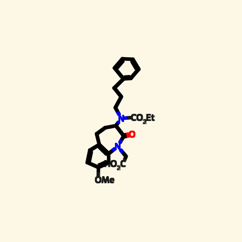 CCOC(=O)N(CCCc1ccccc1)C1CCc2ccc(OC)cc2N(CC(=O)O)C1=O